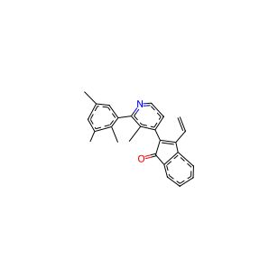 C=CC1=C(c2ccnc(-c3cc(C)cc(C)c3C)c2C)C(=O)c2ccccc21